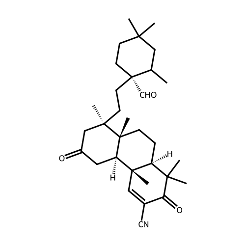 CC1CC(C)(C)CC[C@]1(C=O)CC[C@]1(C)CC(=O)C[C@@H]2[C@@]3(C)C=C(C#N)C(=O)C(C)(C)[C@@H]3CC[C@]21C